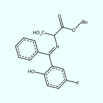 CCC(C)OC(=O)C(N=C(c1ccccc1)c1cc(F)ccc1O)C(=O)O